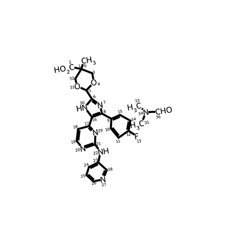 CC1(C(=O)O)COC(c2nc(-c3ccc(F)cc3)c(-c3ccnc(Nc4cccnc4)n3)[nH]2)OC1.CN(C)C=O